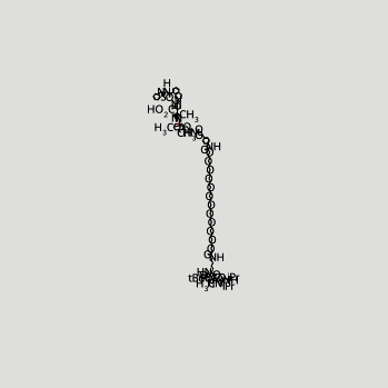 Cc1c(-c2ccc(N3CCc4cccc(C(=O)Nc5nc6ccccc6s5)c4C3)nc2C(=O)O)cnn1CC12CC3(C)CC(C)(C1)CC(OCCNC(=O)OCc1ccc(NC(=O)OCCOCCOCCOCCOCCOCCOCCOCCOCCOCCOCCOCC(=O)NCCCC[C@H](NC(=O)OC(C)(C)C)C(=O)N[C@@H](C)C(=O)N[C@H](C(=O)NC(C)C)C(C)C)cc1)(C3)C2